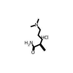 C=C(CCCN(C)C)C(N)=O.Cl